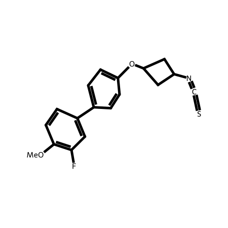 COc1ccc(-c2ccc(OC3CC(N=C=S)C3)cc2)cc1F